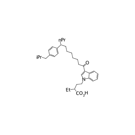 CCCC(CCCCCCC(=O)c1cn(CCC(CC)C(=O)O)c2ccccc12)c1ccc(CC(C)C)cc1